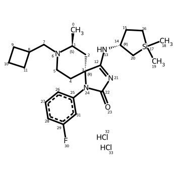 C[C@H]1C[C@]2(CCN1CC1CCC1)C(N[C@@H]1CC[Si](C)(C)C1)=NC(=O)N2c1cccc(F)c1.Cl.Cl